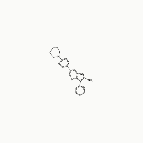 Nc1nn2cc(-c3ccc(N4CCCCC4)nc3)cnc2c1-c1ccccn1